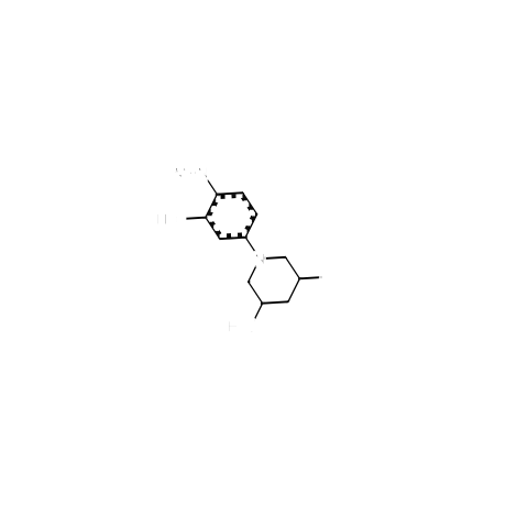 CNc1ccc(N2CC(C)CC(C)C2)cc1C